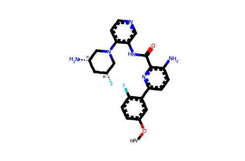 CCCOc1ccc(F)c(-c2ccc(N)c(C(=O)Nc3cnccc3N3C[C@@H](N)C[C@@H](F)C3)n2)c1